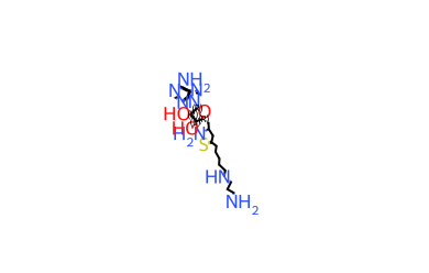 NCCCNCCCCCC(=S)CC(N)C[C@H]1O[C@@H](n2cnc3c(N)ncnc32)[C@H](O)[C@@H]1O